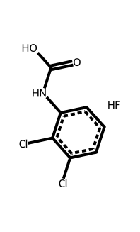 F.O=C(O)Nc1cccc(Cl)c1Cl